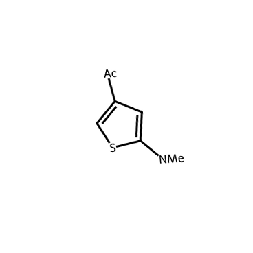 CNc1cc(C(C)=O)cs1